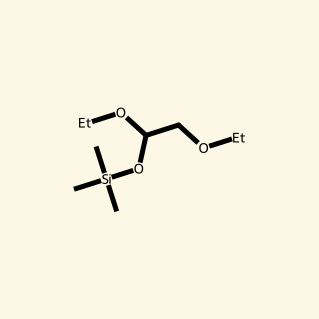 [CH2]COCC(OCC)O[Si](C)(C)C